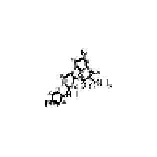 NC(=O)C1(C(=O)N(c2ccc(Br)cc2)c2ccnc(Nc3ccc(F)cc3)n2)CC1